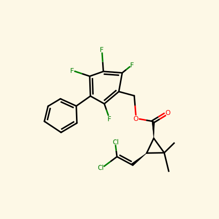 CC1(C)[C@H](C(=O)OCc2c(F)c(F)c(F)c(-c3ccccc3)c2F)[C@@H]1C=C(Cl)Cl